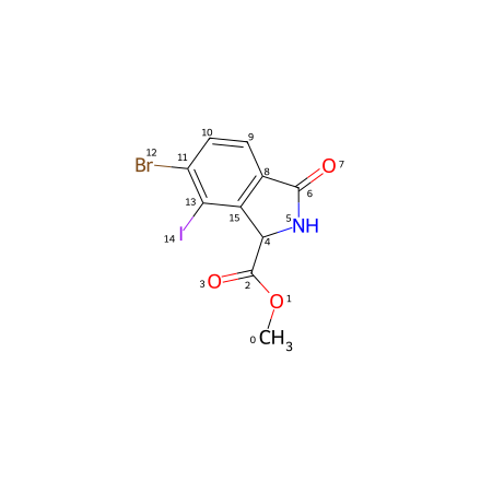 COC(=O)C1NC(=O)c2ccc(Br)c(I)c21